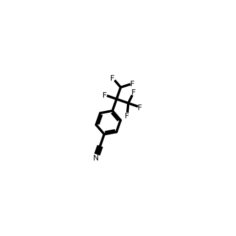 N#Cc1ccc(C(F)(C(F)F)C(F)(F)F)cc1